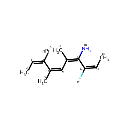 C\C=C(CCC)/C(C)=C\C(C)=C(N)/C(F)=C\C